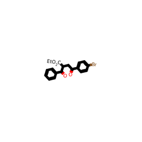 CCOC(=O)C(CC(=O)c1ccc(Br)cc1)C(=O)c1ccccc1